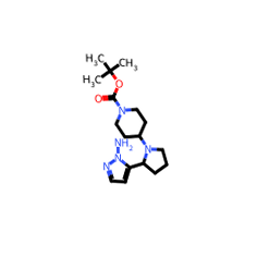 CC(C)(C)OC(=O)N1CCC(N2CCCC2c2ccnn2N)CC1